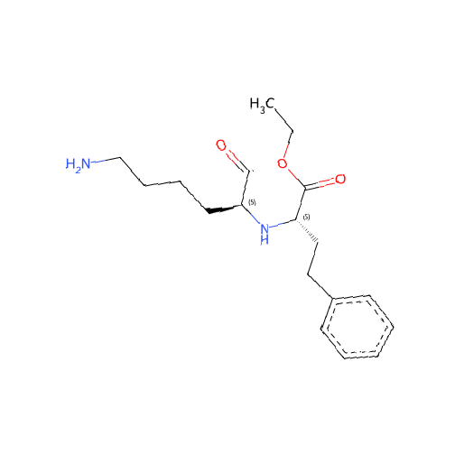 CCOC(=O)[C@H](CCc1ccccc1)N[C@H]([C]=O)CCCCN